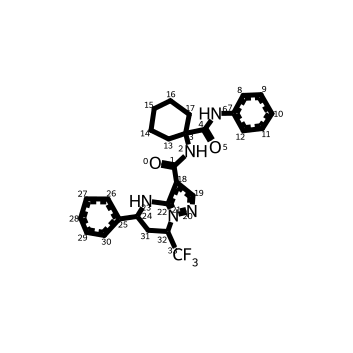 O=C(NC1(C(=O)Nc2ccccc2)CCCCC1)c1cnn2c1NC(c1ccccc1)CC2C(F)(F)F